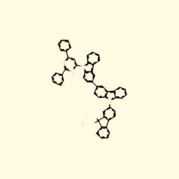 CC1(C)c2ccccc2-c2ccc(-n3c4ccccc4c4cc(-c5ccc6c(c5)c5ccccc5n6-c5cc(-c6ccccc6)nc(-c6ccccc6)n5)ccc43)cc21